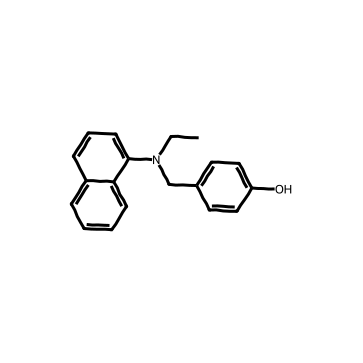 CCN(Cc1ccc(O)cc1)c1cccc2ccccc12